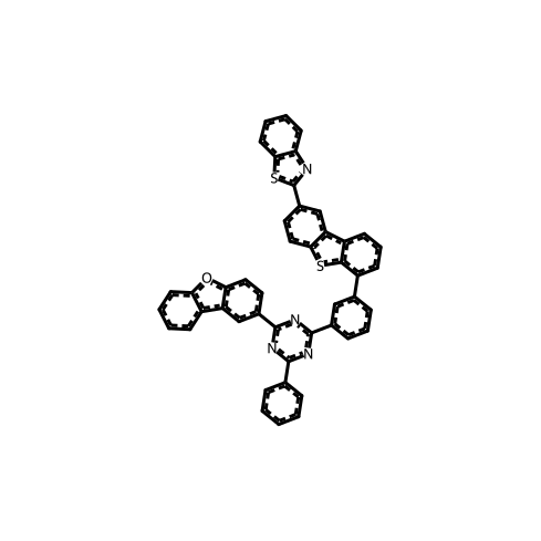 c1ccc(-c2nc(-c3cccc(-c4cccc5c4sc4ccc(-c6nc7ccccc7s6)cc45)c3)nc(-c3ccc4oc5ccccc5c4c3)n2)cc1